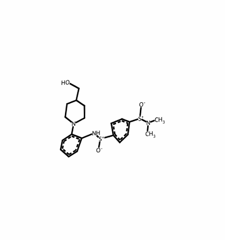 CN(C)[S+]([O-])c1ccc([S+]([O-])Nc2ccccc2N2CCC(CO)CC2)cc1